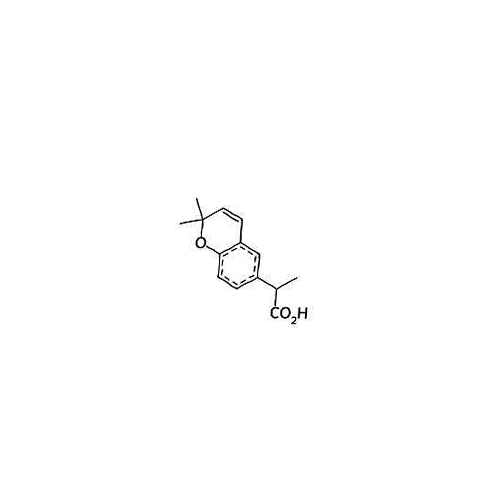 CC(C(=O)O)c1ccc2c(c1)C=CC(C)(C)O2